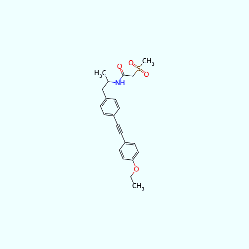 CCOc1ccc(C#Cc2ccc(CC(C)NC(=O)CS(C)(=O)=O)cc2)cc1